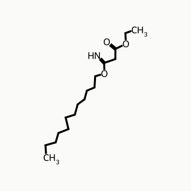 CCCCCCCCCCCCOC(=N)CC(=O)OCC